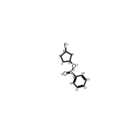 O=S(OC1CCC(F)C1)c1ccccc1